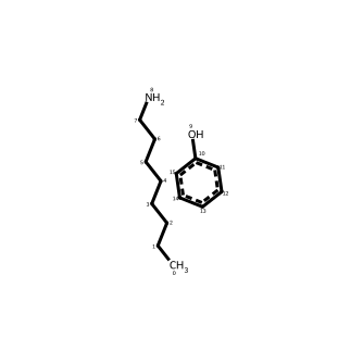 CCCCCCCCN.Oc1ccccc1